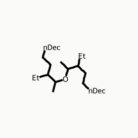 CCCCCCCCCCCCC(CC)C(C)OC(C)C(CC)CCCCCCCCCCCC